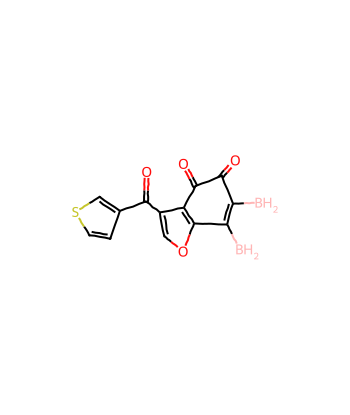 BC1=C(B)c2occ(C(=O)c3ccsc3)c2C(=O)C1=O